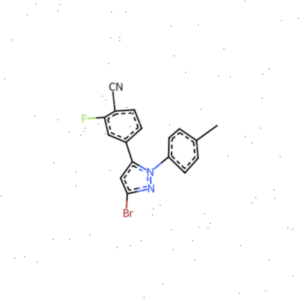 Cc1ccc(-n2nc(Br)cc2-c2ccc(C#N)c(F)c2)cc1